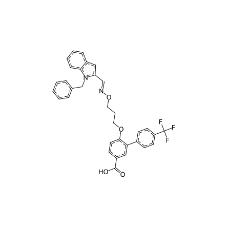 O=C(O)c1ccc(OCCCON=Cc2cc3ccccc3n2Cc2ccccc2)c(-c2ccc(C(F)(F)F)cc2)c1